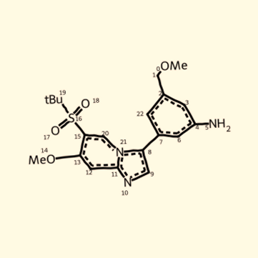 COCc1cc(N)cc(-c2cnc3cc(OC)c(S(=O)(=O)C(C)(C)C)cn23)c1